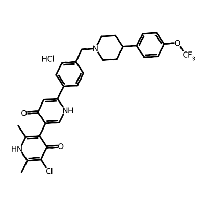 Cc1[nH]c(C)c(-c2c[nH]c(-c3ccc(CN4CCC(c5ccc(OC(F)(F)F)cc5)CC4)cc3)cc2=O)c(=O)c1Cl.Cl